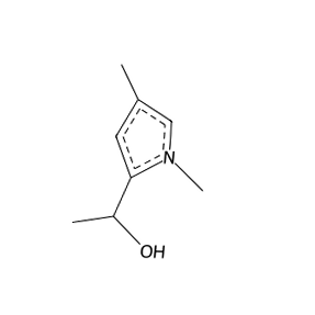 Cc1cc(C(C)O)n(C)c1